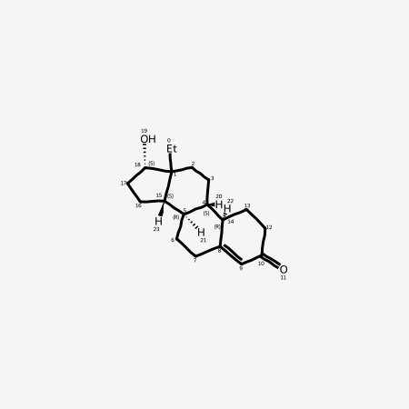 CCC12CC[C@H]3[C@@H](CCC4=CC(=O)CC[C@@H]43)[C@@H]1CC[C@@H]2O